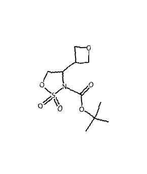 CC(C)(C)OC(=O)N1C(C2COC2)COS1(=O)=O